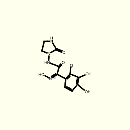 O=C(NN1CCNC1=O)/C(=N\O)c1ccc(O)c(O)c1Cl